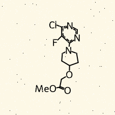 COC(=O)COC1CCN(c2ncnc(Cl)c2F)CC1